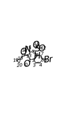 O=C(c1ccc(Br)cc1C[SH](=O)=O)c1cnoc1C1CC1